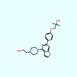 CC(C)(O)COc1ccc(-c2cc3sccc3c(N3CCN(CCO)CC3)n2)cc1